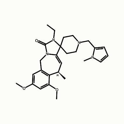 CCN1C(=O)N2Cc3cc(OC)cc(OC)c3[C@H](C)C=C2C12CCN(Cc1cccn1C)CC2